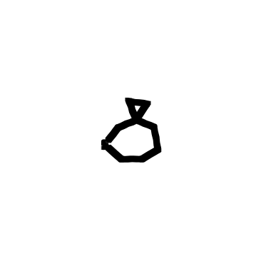 C1CCC2(CC2)CSC1